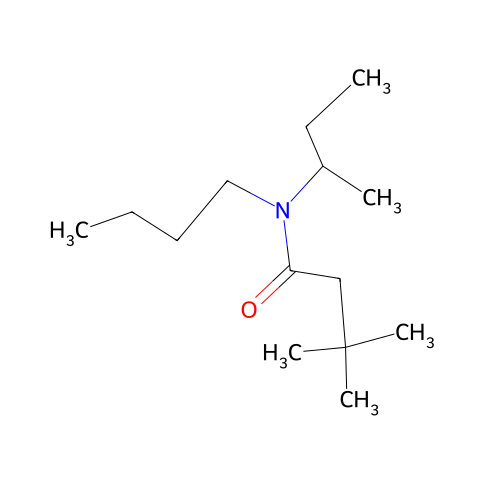 CCCCN(C(=O)CC(C)(C)C)C(C)CC